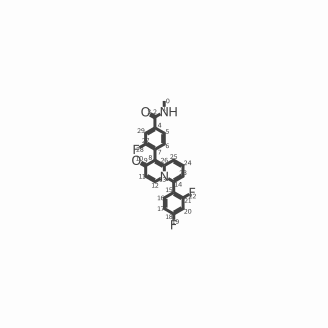 CNC(=O)c1ccc(-c2c(=O)ccn3c(-c4ccc(F)cc4F)cccc23)c(F)c1